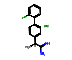 C[C@H](C(=N)N)c1ccc(-c2ccccc2F)cc1.Cl